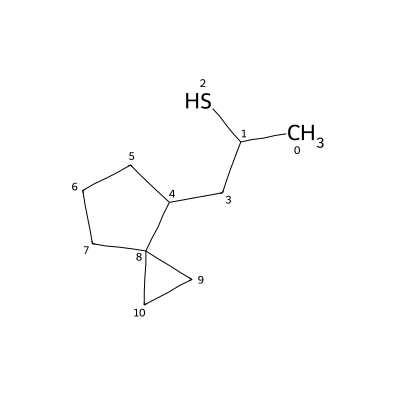 CC(S)CC1CCCC12CC2